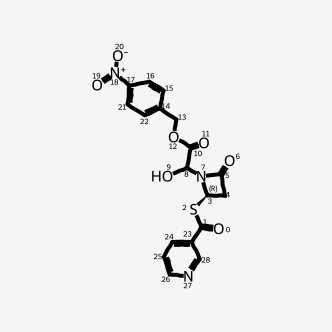 O=C(S[C@@H]1CC(=O)N1C(O)C(=O)OCc1ccc([N+](=O)[O-])cc1)c1cccnc1